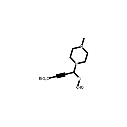 CCOC(=O)C#CC(OC=O)N1CCN(C)CC1